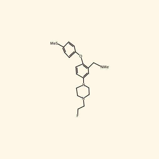 CNCc1cc(N2CCN(CCF)CC2)ccc1Oc1ccc(SC)cc1